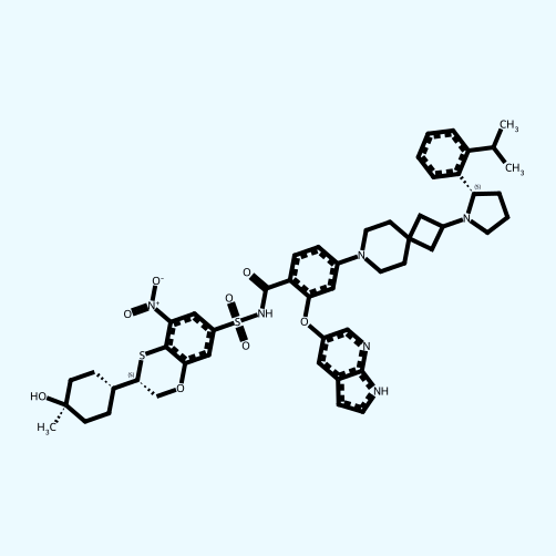 CC(C)c1ccccc1[C@@H]1CCCN1C1CC2(CCN(c3ccc(C(=O)NS(=O)(=O)c4cc5c(c([N+](=O)[O-])c4)S[C@@H]([C@H]4CC[C@](C)(O)CC4)CO5)c(Oc4cnc5[nH]ccc5c4)c3)CC2)C1